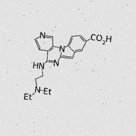 CCN(CC)CCNc1nc2cc3cc(C(=O)O)ccc3n2c2cnccc12